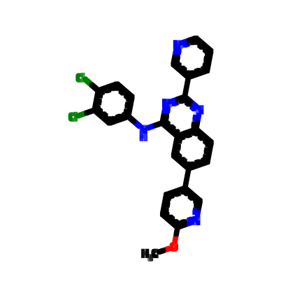 COc1ccc(-c2ccc3nc(-c4cccnc4)nc(Nc4ccc(Cl)c(Cl)c4)c3c2)cn1